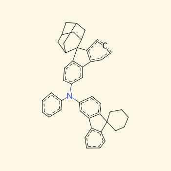 c1ccc(N(c2ccc3c(c2)-c2ccccc2C32CCCCC2)c2ccc3c(c2)-c2ccccc2C32C3CC4CC(C3)CC2C4)cc1